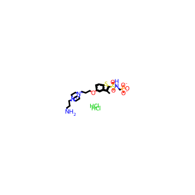 Cc1c(S(=O)(=O)NCP(=O)([O-])[O-])sc2ccc(OCCC[N+]34CC[N+](CCCN)(CC3)CC4)cc12.Cl.Cl